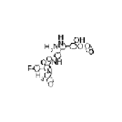 CC1(Cn2cc(C(=O)Nc3ccc(C4=CC(c5ccc(OC[C@H]6COCCO6)c(O)c5)=CNC4N)cc3)c(=O)c(-c3ccc(F)cc3)c2)CCOCC1